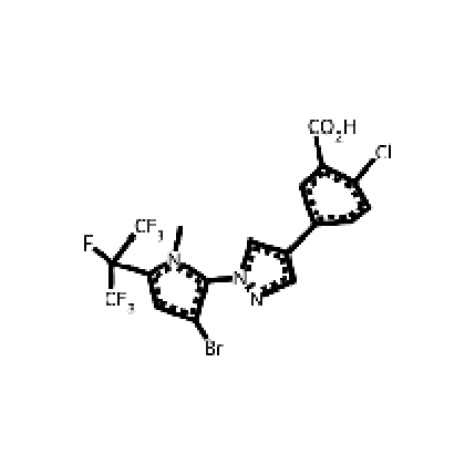 Cn1c(C(F)(C(F)(F)F)C(F)(F)F)cc(Br)c1-n1cc(-c2ccc(Cl)c(C(=O)O)c2)cn1